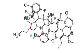 COC(=O)C1=C(CF)N(OC(=O)/C=C\C(=O)ON2C(CF)C(C)(C(=O)O)C(c3c(F)ccc(Cl)c3C(F)(F)F)C(C(=O)O)(C(C)C)C2CCCCN)C(CCCCN)=C(C(=O)OC(C)C)C1c1c(F)ccc(Cl)c1C(F)(F)F